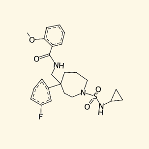 COc1ccccc1C(=O)NCC1(c2cccc(F)c2)CCCN(S(=O)(=O)NC2CC2)CC1